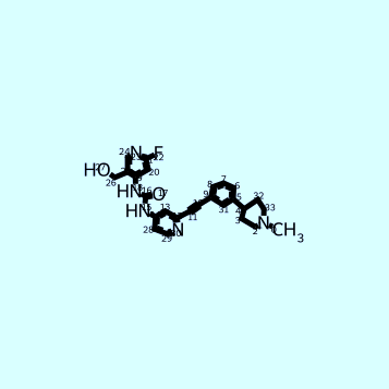 CN1CCC(c2cccc(C#Cc3cc(NC(=O)Nc4cc(F)ncc4CO)ccn3)c2)CC1